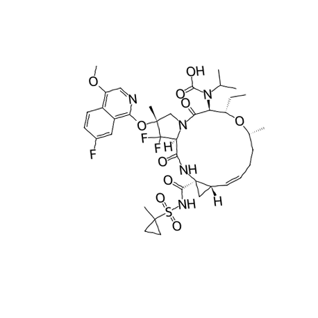 CC[C@@H]1O[C@H](C)CC/C=C\[C@@H]2C[C@@]2(C(=O)NS(=O)(=O)C2(C)CC2)NC(=O)[C@@H]2N(C[C@@](C)(Oc3ncc(OC)c4ccc(F)cc34)C2(F)F)C(=O)[C@H]1N(C(=O)O)C(C)C